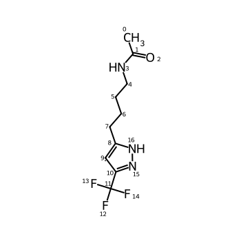 CC(=O)NCCCCc1[c]c(C(F)(F)F)n[nH]1